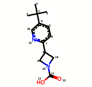 CC(C)(C)c1ccc(C2CN(C(=O)O)C2)nc1